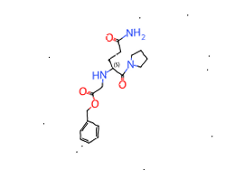 NC(=O)CC[C@H](NCC(=O)OCc1ccccc1)C(=O)N1CCCC1